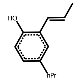 C[C]Cc1ccc(O)c(C=CC)c1